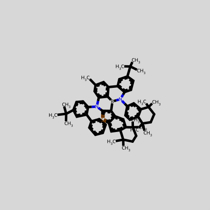 Cc1cc2c3c(c1)N(c1ccc(C(C)(C)C)cc1-c1ccccc1)c1sc4cc5c(cc4c1B3N(c1ccc3c(c1)C(C)(C)CCC3(C)C)c1ccc(C(C)(C)C)cc1-2)C(C)(C)CCC5(C)C